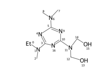 CCN(C)c1nc(N(C)C)nc(N(CO)CO)n1